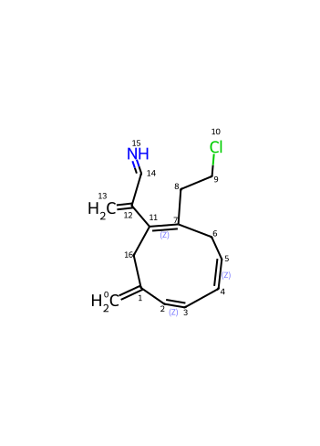 C=C1/C=C\C=C/C/C(CCCl)=C(/C(=C)C=N)C1